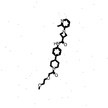 COCCOCC(=O)N1CCC(c2ccc(NC(=O)C3CN(c4cccnc4C)C3)cc2)CC1